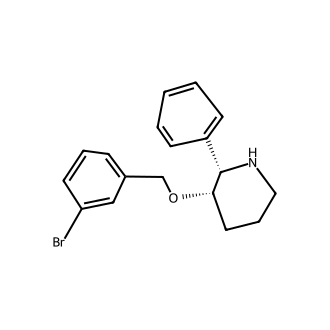 Brc1cccc(CO[C@H]2CCCN[C@H]2c2ccccc2)c1